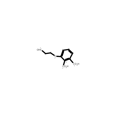 O=CCCOc1cccc(C(=O)O)c1C(=O)O